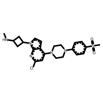 CNC1CC(n2ccc3c(N4CCN(c5ccc(S(C)(=O)=O)cc5)CC4)cc(Cl)nc32)C1